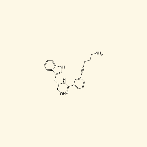 NCCCC#Cc1cccc(C(=O)N[C@@H](CO)Cc2c[nH]c3ccccc23)c1